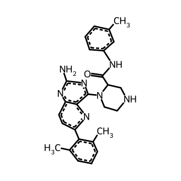 Cc1cccc(NC(=O)C2CNCCN2c2nc(N)nc3ccc(-c4c(C)cccc4C)nc23)c1